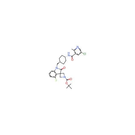 Cc1ncc(Cl)cc1C(=O)N[C@H]1CC[C@H](CN2C(=O)C3(CN(C(=O)OC(C)(C)C)C3)c3c(F)cccc32)CC1